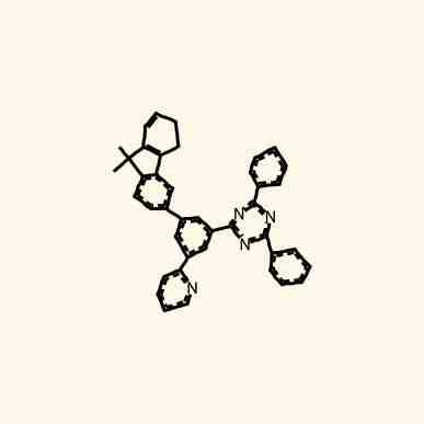 CC1(C)C2=C(CCC=C2)c2cc(-c3cc(-c4ccccn4)cc(-c4nc(-c5ccccc5)nc(-c5ccccc5)n4)c3)ccc21